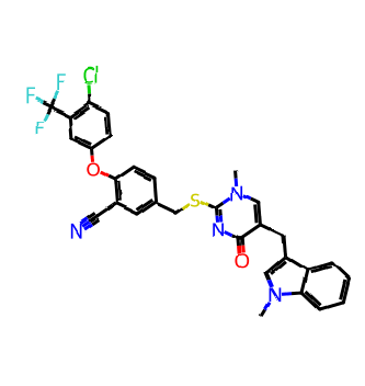 Cn1cc(Cc2cn(C)c3ccccc23)c(=O)nc1SCc1ccc(Oc2ccc(Cl)c(C(F)(F)F)c2)c(C#N)c1